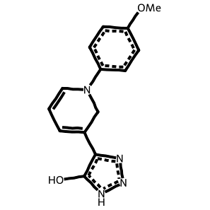 COc1ccc(N2C=CC=C(c3nn[nH]c3O)C2)cc1